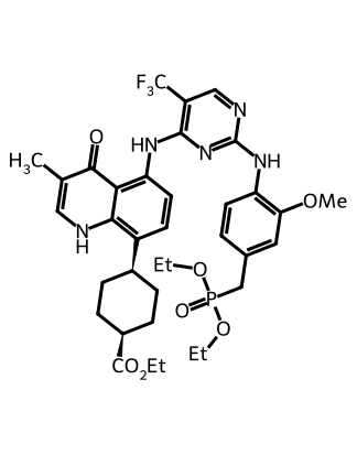 CCOC(=O)[C@H]1CC[C@@H](c2ccc(Nc3nc(Nc4ccc(CP(=O)(OCC)OCC)cc4OC)ncc3C(F)(F)F)c3c(=O)c(C)c[nH]c32)CC1